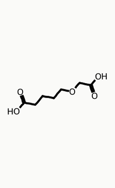 O=C(O)CCCCOCC(=O)O